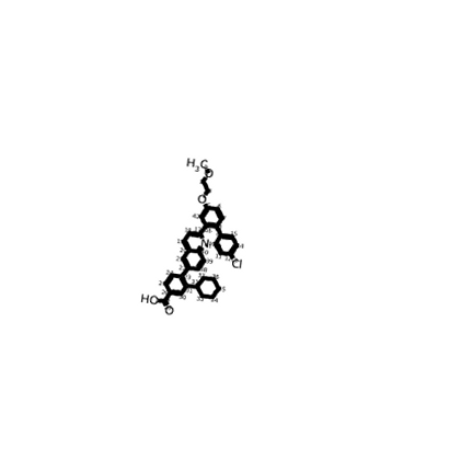 COCCOc1ccc(-c2ccc(Cl)cc2)c(-c2ccc3cc(-c4ccc(C(=O)O)cc4C4CCCCC4)ccc3n2)c1